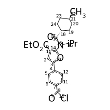 CCOC(=O)c1cc(-c2ccc(C(=O)Cl)cc2)oc1N(C(=O)[C@H]1CC[C@H](C)CC1)C(C)C